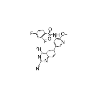 [2H]c1nc(C#N)nc2ccc(-c3cnc(OC)c(NS(=O)(=O)c4ccc(F)cc4F)c3)cc12